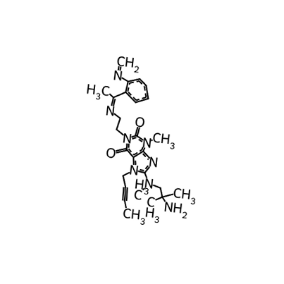 C=Nc1ccccc1/C(C)=N\CCn1c(=O)c2c(nc(N(C)CC(C)(C)N)n2CC#CC)n(C)c1=O